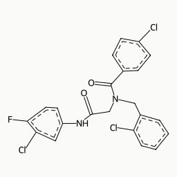 O=C(CN(Cc1ccccc1Cl)C(=O)c1ccc(Cl)cc1)Nc1ccc(F)c(Cl)c1